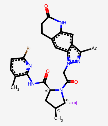 CC(=O)c1nn(CC(=O)N2[C@H](I)[C@@H](C)C[C@H]2C(=O)Nc2nc(Br)ccc2C)c2cc3c(cc12)NC(=O)CC3